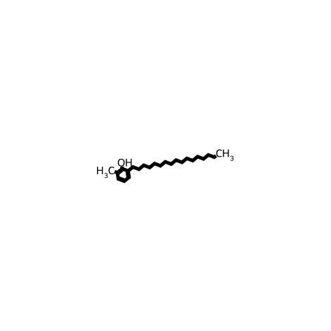 CCCCCCCCCCCCCCCCCc1cccc(C)c1O